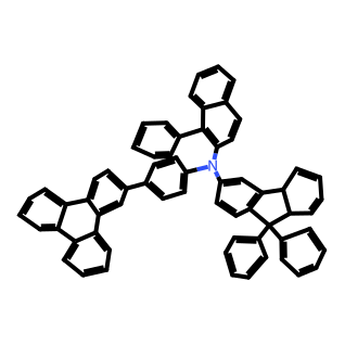 C1=CC2c3cc(N(c4ccc(-c5ccc6c7ccccc7c7ccccc7c6c5)cc4)c4ccc5ccccc5c4-c4ccccc4)ccc3C(c3ccccc3)(c3ccccc3)C2C=C1